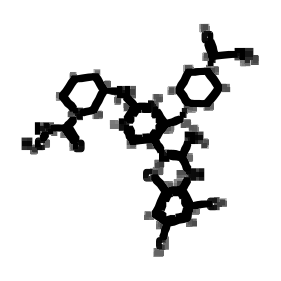 CNC(=O)N1CCC[C@@H](Nc2ncc(/N=C(\N)Nc3c(Cl)cc(Cl)cc3Cl)c(C[C@H]3CC[C@@H](C(N)=O)CC3)n2)C1